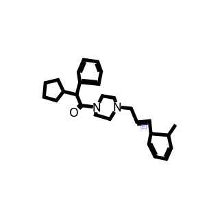 CC1C=CC=CC1/C=C/CN1CCN(C(=O)C(c2ccccc2)C2CCCC2)CC1